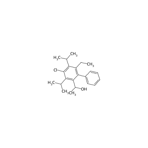 CCc1c(-c2ccccc2)c(C(C)O)c(C(C)C)c(Cl)c1C(C)C